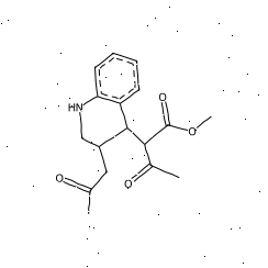 COC(=O)C(C(C)=O)C1c2ccccc2NCC1CC(C)=O